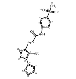 CCn1c(SCC(=O)Nc2ccc(S(C)(=O)=O)cc2)nnc1-c1cccs1